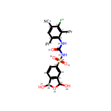 CC(C)c1cc(C#N)c(F)c(C(C)C)c1NC(=O)NS(=O)(=O)c1ccc2c(c1)C(O)OB2O